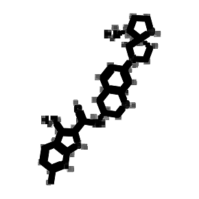 Cc1ccc2c(N)c(C(=O)N[C@H]3COc4cc(N5CC[C@@]6(C5)OCC[C@H]6N)ccc4C3)sc2n1